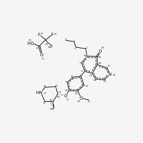 CCCCn1cc(-c2ccc(O[C@H]3CCNC[C@@H]3F)c(OC)c2)c2ccncc2c1=O.O=C(O)C(F)(F)F